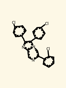 Clc1ccc(-c2nc3cnc(-c4ccccc4Cl)cn3c2-c2ccc(Cl)cc2)cc1